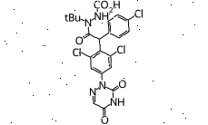 CC(C)(C)N(NC(=O)O)C(=O)C(c1ccc(Cl)cc1)c1c(Cl)cc(-n2ncc(=O)[nH]c2=O)cc1Cl